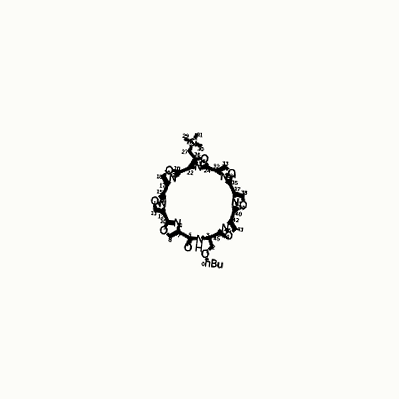 CCCCOCC1NC(=O)c2coc(n2)-c2coc(n2)-c2coc(n2)-c2nc(oc2C[Si](C)(C)C)-c2coc(n2)-c2coc(n2)-c2coc1n2